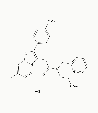 COCCN(Cc1ccccn1)C(=O)Cc1c(-c2ccc(OC)cc2)nc2cc(C)ccn12.Cl